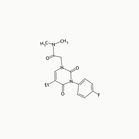 CCc1cn(CC(=O)N(C)C)c(=O)n(-c2ccc(F)cc2)c1=O